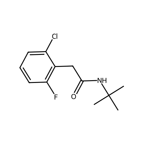 CC(C)(C)NC(=O)Cc1c(F)cccc1Cl